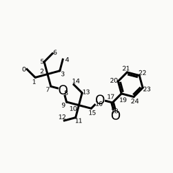 CCC(CC)(CC)COCC(CC)(CC)COC(=O)c1ccccc1